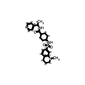 CC(NC(=O)C1CCC(NS(=O)(=O)c2ccc3c(c2)N(C)CCC3)CC1)c1ccncc1